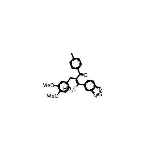 COc1ccc(C/C(C(=O)c2ccc(C)cc2)=C(\C(=O)O)c2ccc3nsnc3c2)cc1OC